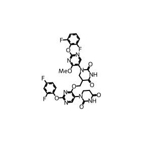 COc1nc(Oc2c(F)cccc2F)ncc1N1CC(COc2nc(Oc3ccc(F)cc3F)ncc2N2CCC(=O)NC2=O)C(=O)NC1=O